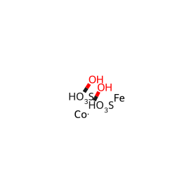 O=S(=O)(O)O.O=S(=O)(O)O.[Co].[Fe]